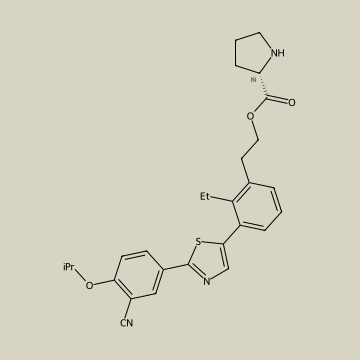 CCc1c(CCOC(=O)[C@@H]2CCCN2)cccc1-c1cnc(-c2ccc(OC(C)C)c(C#N)c2)s1